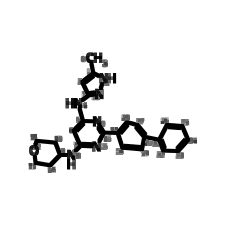 Cc1cc(Nc2cc(NC3CCOCC3)nc(-c3ccc(-c4ccccc4)cc3)n2)n[nH]1